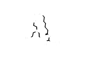 CCCCCCCCCCCCCCCC(=O)NC(C)C(=O)O.OCCN(CCO)CCO